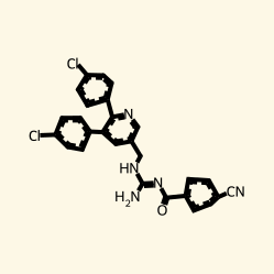 N#Cc1ccc(C(=O)/N=C(\N)NCc2cnc(-c3ccc(Cl)cc3)c(-c3ccc(Cl)cc3)c2)cc1